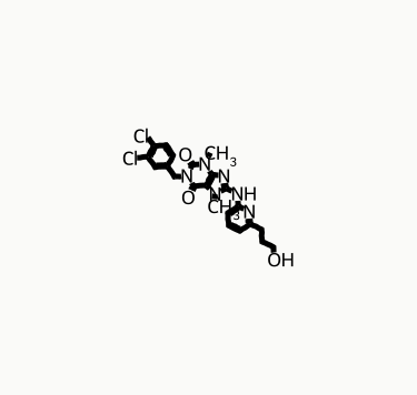 Cn1c(Nc2cccc(CCCO)n2)nc2c1c(=O)n(Cc1ccc(Cl)c(Cl)c1)c(=O)n2C